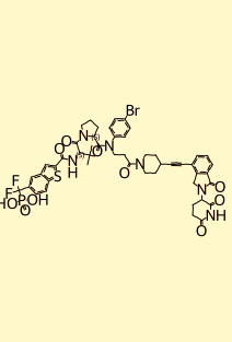 CC(C)(C)[C@H](NC(=O)c1cc2cc(C(F)(F)P(=O)(O)O)ccc2s1)C(=O)N1CCC[C@H]1C(=O)N(CCC(=O)N1CCC(C#Cc2cccc3c2CN(C2CCC(=O)NC2=O)C3=O)CC1)c1ccc(Br)cc1